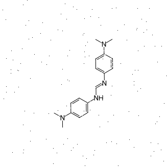 CN(C)c1ccc(/N=C/Nc2ccc(N(C)C)cc2)cc1